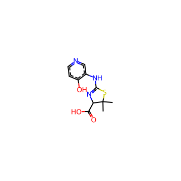 CC1(C)SC(Nc2cnccc2O)=NC1C(=O)O